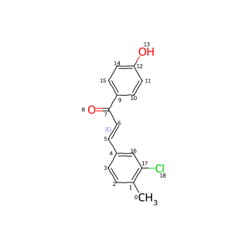 Cc1ccc(/C=C/C(=O)c2ccc(O)cc2)cc1Cl